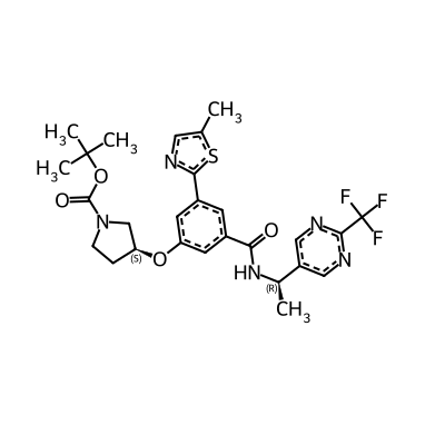 Cc1cnc(-c2cc(O[C@H]3CCN(C(=O)OC(C)(C)C)C3)cc(C(=O)N[C@H](C)c3cnc(C(F)(F)F)nc3)c2)s1